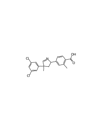 Cc1cc(C2CC(C)(c3cc(Cl)cc(Cl)c3)C=N2)ccc1C(=O)O